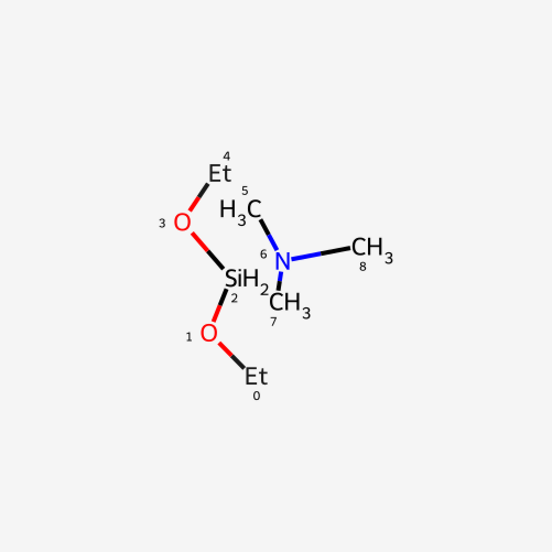 CCO[SiH2]OCC.CN(C)C